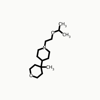 CC(C)OCCN1CCC(C2(C)CCOCC2)CC1